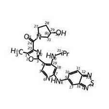 Cc1oc(-c2cnc(Nc3ccc4nsnc4c3)cc2NC(C)C)nc1C(=O)N1CC[C@@H](O)C1